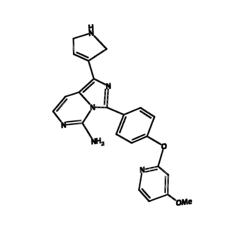 COc1ccnc(Oc2ccc(-c3nc(C4=CCNC4)c4ccnc(N)n34)cc2)c1